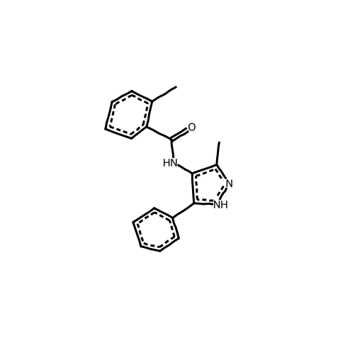 Cc1ccccc1C(=O)Nc1c(C)n[nH]c1-c1ccccc1